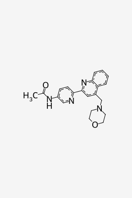 CC(=O)Nc1ccc(-c2cc(CN3CCOCC3)c3ccccc3n2)nc1